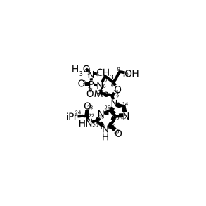 COP(=O)(N(C)C)N1CC(CO)OC(n2cnc3c(=O)[nH]c(NC(=O)C(C)C)nc32)C1